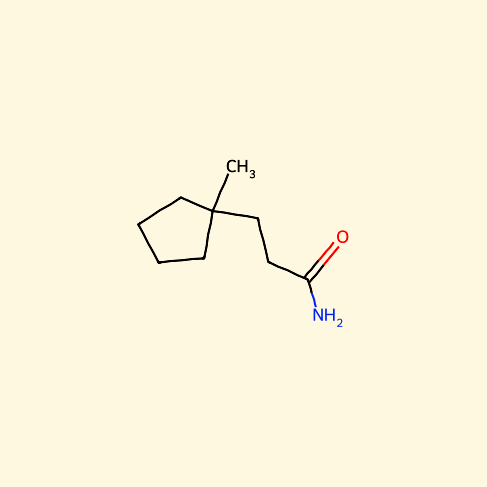 CC1(CCC(N)=O)CCCC1